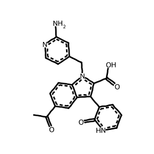 CC(=O)c1ccc2c(c1)c(-c1ccc[nH]c1=O)c(C(=O)O)n2Cc1ccnc(N)c1